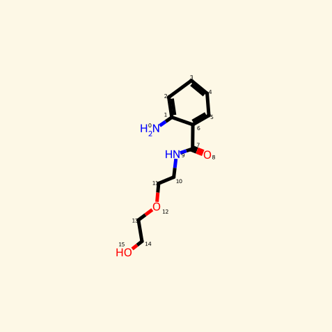 Nc1ccccc1C(=O)NCCOCCO